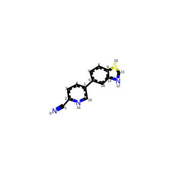 N#Cc1ccc(-c2ccc3scnc3c2)cn1